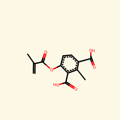 C=C(C)C(=O)Oc1ccc(C(=O)O)c(C)c1C(=O)O